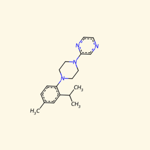 Cc1ccc(N2CCN(c3cnccn3)CC2)c(C(C)C)c1